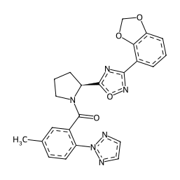 Cc1ccc(-n2nccn2)c(C(=O)N2CCC[C@H]2c2nc(-c3cccc4c3OCO4)no2)c1